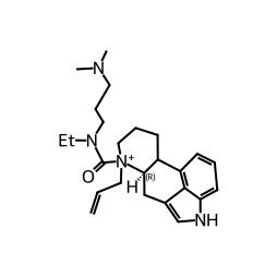 C=CC[N+]1(C(=O)N(CC)CCCN(C)C)CCCC2c3cccc4[nH]cc(c34)C[C@H]21